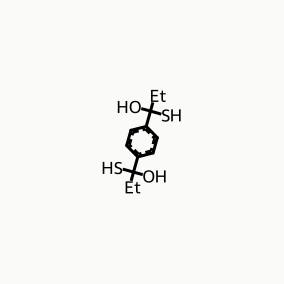 CCC(O)(S)c1ccc(C(O)(S)CC)cc1